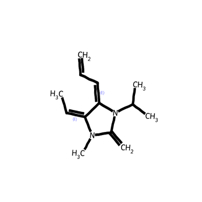 C=C/C=C1\C(=C/C)N(C)C(=C)N1C(C)C